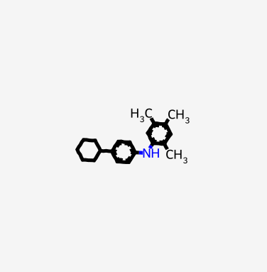 Cc1cc(C)c(Nc2ccc(C3CCCCC3)cc2)cc1C